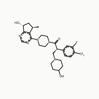 C[C@@H]1C[C@@H](O)c2ncnc(N3CCN(C(=O)[C@H](CN4CCC(O)CC4)c4ccc(C(F)(F)F)c(F)c4)CC3)c21